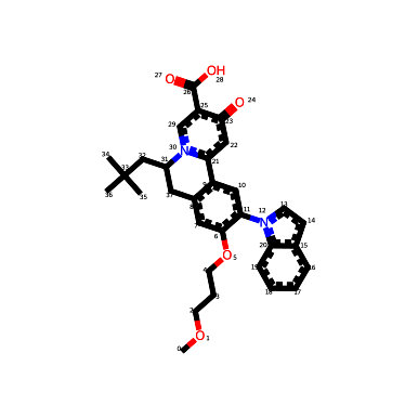 COCCCOc1cc2c(cc1-n1ccc3ccccc31)-c1cc(=O)c(C(=O)O)cn1C(CC(C)(C)C)C2